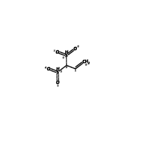 C=CC([SH](=O)=O)[SH](=O)=O